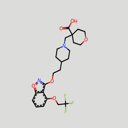 O=C(O)C1(CN2CCC(CCOc3noc4cccc(OCC(F)(F)F)c34)CC2)CCOCC1